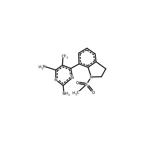 CS(=O)(=O)N1CCc2cccc(-c3nc(N)nc(N)c3C(F)(F)F)c21